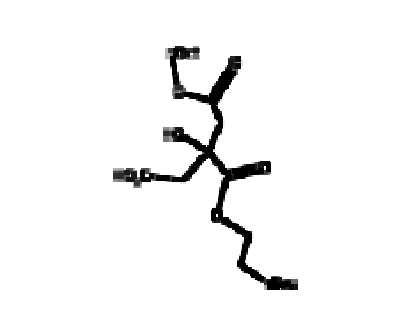 CCCCCCCCCCCCOC(=O)C(O)(CC(=O)O)CC(=O)OCCCCCCCC